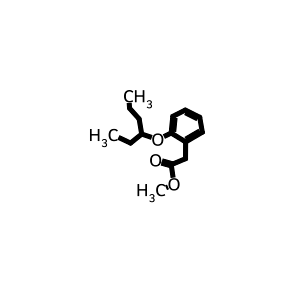 CCCC(CC)Oc1ccccc1CC(=O)OC